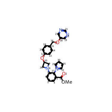 COC(=O)c1cccc(N2CC(Oc3ccc(COc4cncnc4)cc3)C2)c1-n1cccc1